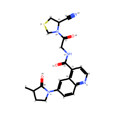 CC1CCN(c2ccc3nccc(C(=O)NCC(=O)N4CSCC4C#N)c3c2)C1=O